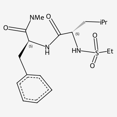 CCS(=O)(=O)N[C@@H](CC(C)C)C(=O)N[C@@H](Cc1ccccc1)C(=O)NC